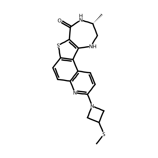 CSC1CN(c2ccc3c(ccc4sc5c(c43)NC[C@@H](C)NC5=O)n2)C1